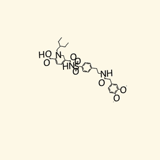 CCC(CC)CN1CC(C(=O)NS(=O)(=O)c2ccc(CCNC(=O)Cc3ccc(OC)c(OC)c3)cc2)=CC=C1C(=O)O